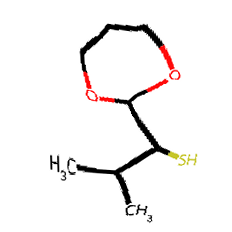 CC(C)C(S)C1OCCCO1